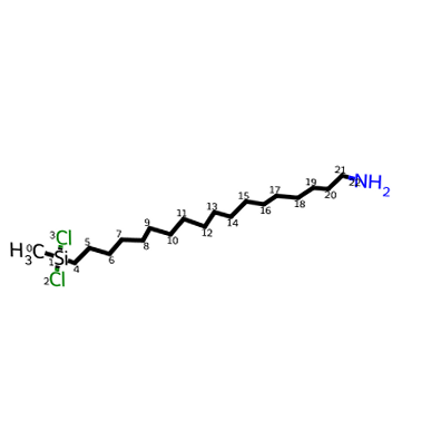 C[Si](Cl)(Cl)CCCCCCCCCCCCCCCCCCN